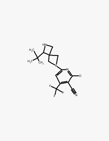 CC(C)(C)C1NCC12CN(c1cc(C(F)(F)F)c(C#N)c(Cl)n1)C2